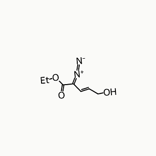 CCOC(=O)C(C=CCO)=[N+]=[N-]